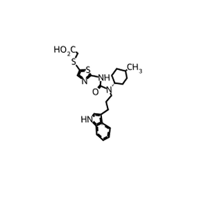 C[C@H]1CC[C@H](N(CCCc2c[nH]c3ccccc23)C(=O)Nc2ncc(SCC(=O)O)s2)CC1